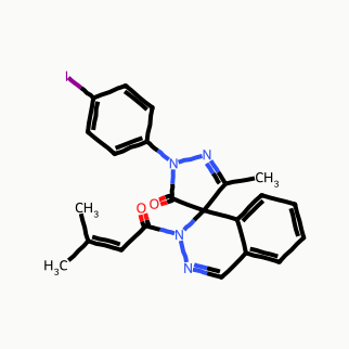 CC(C)=CC(=O)N1N=Cc2ccccc2C12C(=O)N(c1ccc(I)cc1)N=C2C